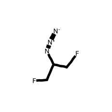 [N-]=[N+]=NC(CF)CF